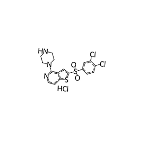 Cl.O=S(=O)(c1ccc(Cl)c(Cl)c1)c1cc2c(N3CCNCC3)nccc2s1